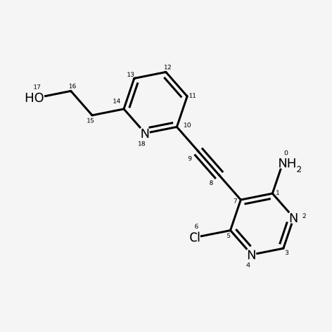 Nc1ncnc(Cl)c1C#Cc1cccc(CCO)n1